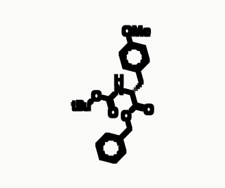 COc1ccc(C[C@@H](NC(=O)OC(C)(C)C)C(=O)OCc2ccccc2)cc1